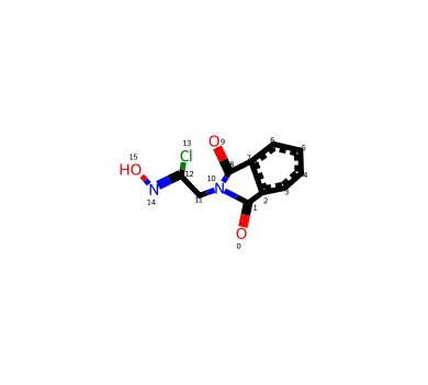 O=C1c2ccccc2C(=O)N1C/C(Cl)=N/O